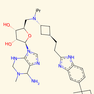 CC(C)N(C[C@H]1O[C@@H](n2cnc3c2NCN(C)C3N)[C@H](O)[C@@H]1O)[C@H]1C[C@H](CCc2nc3cc(C4(C)CCC4)ccc3[nH]2)C1